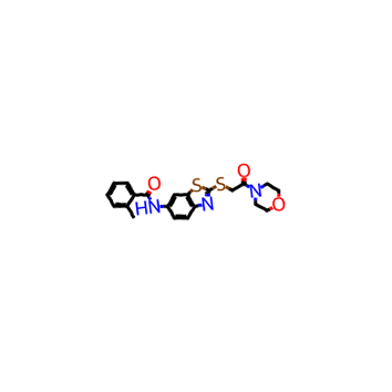 Cc1ccccc1C(=O)Nc1ccc2nc(SCC(=O)N3CCOCC3)sc2c1